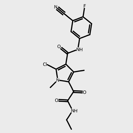 CCNC(=O)C(=O)c1c(C)c(C(=O)Nc2ccc(F)c(C#N)c2)c(Cl)n1C